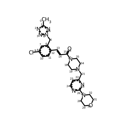 Cc1nnn(Cc2cc(Cl)ccc2/C=C/C(=O)N2CCN(Cc3ccnc(N4CCOCC4)n3)CC2)n1